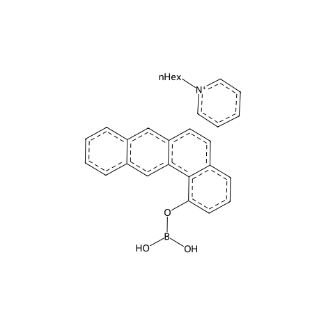 CCCCCC[n+]1ccccc1.OB(O)Oc1cccc2ccc3cc4ccccc4cc3c12